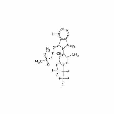 Cc1cc(C(F)(C(F)(F)F)C(F)(F)F)ccc1N1C(=O)c2cccc(I)c2C1=NC(C)(C)CS(C)(=O)=O